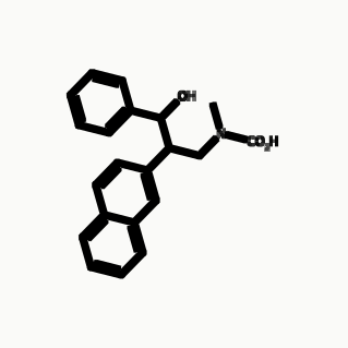 CN(CC(c1ccc2ccccc2c1)C(O)c1ccccc1)C(=O)O